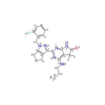 CC1(C)C(=O)Nc2nc(-c3nn(Cc4ccccc4F)c4c3CCC4)nc(NCCC(F)(F)F)c21